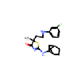 CC1(CCNc2cccc(Cl)c2)SC(NC2CC3CCC2C3)=NC1=O